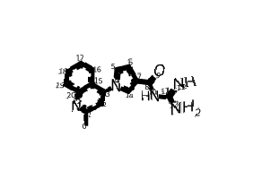 Cc1cc(-n2ccc(C(=O)NC(=N)N)c2)c2ccccc2n1